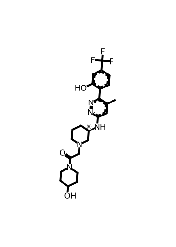 Cc1cc(N[C@@H]2CCCN(CC(=O)N3CCC(O)CC3)C2)nnc1-c1ccc(C(F)(F)F)cc1O